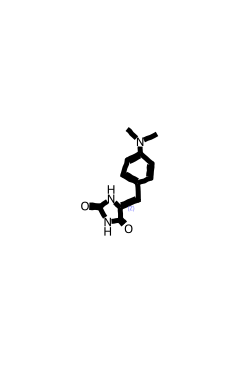 CN(C)c1ccc(/C=C2\NC(=O)NC2=O)cc1